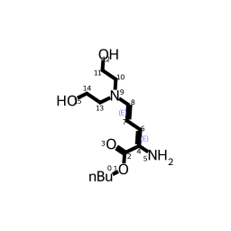 CCCCOC(=O)/C(N)=C\C=C\N(CCO)CCO